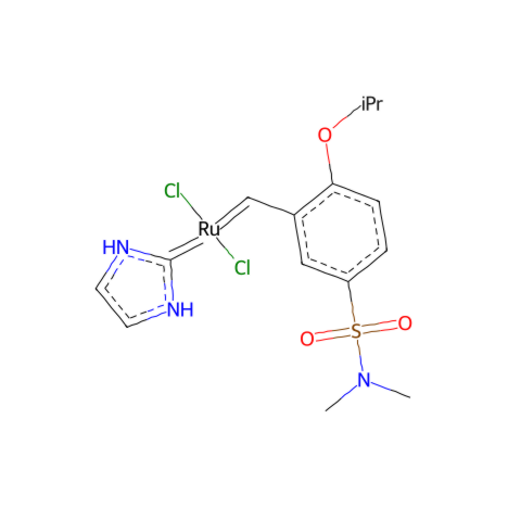 CC(C)Oc1ccc(S(=O)(=O)N(C)C)cc1[CH]=[Ru]([Cl])([Cl])=[c]1[nH]cc[nH]1